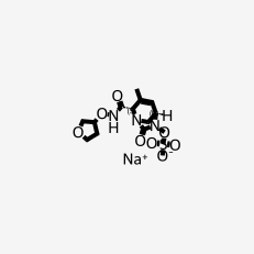 CC1=C[C@@H]2CN(C(=O)N2OS(=O)(=O)[O-])[C@@H]1C(=O)NOC1CCOC1.[Na+]